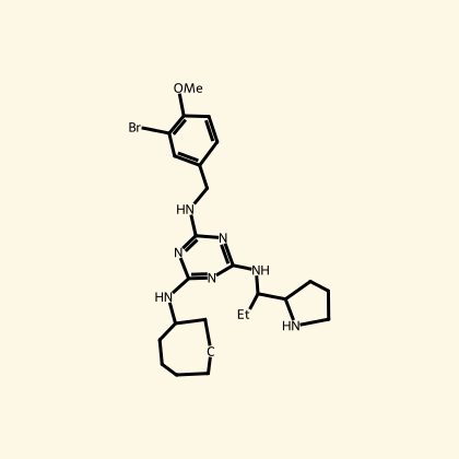 CCC(Nc1nc(NCc2ccc(OC)c(Br)c2)nc(NC2CCCCCC2)n1)C1CCCN1